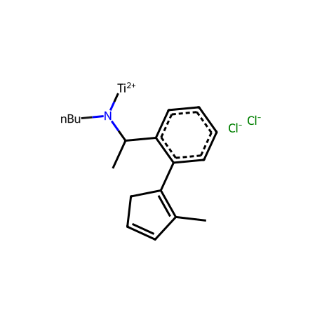 CCCC[N]([Ti+2])C(C)c1ccccc1C1=C(C)C=CC1.[Cl-].[Cl-]